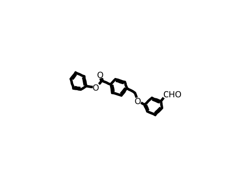 O=Cc1cccc(OCc2ccc(C(=O)Oc3ccccc3)cc2)c1